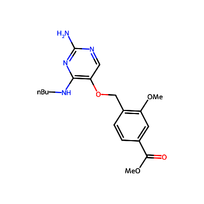 CCCCNc1nc(N)ncc1OCc1ccc(C(=O)OC)cc1OC